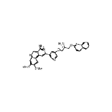 COc1cc2ncc3c(N)nc(-c4cncc(OC[C@@H](N)COc5ccc6ccccc6n5)c4)cc3c2cc1OC